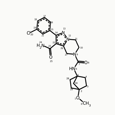 COC12CCC(NC(=O)N3CCn4nc(-c5cccc(Cl)c5)c(C(N)=O)c4C3)(CC1)C2